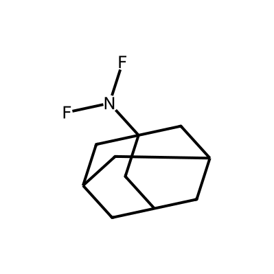 FN(F)C12CC3CC(CC(C3)C1)C2